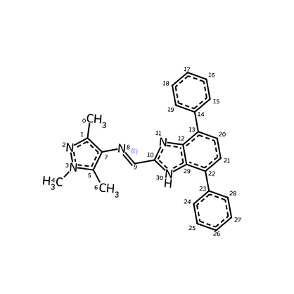 Cc1nn(C)c(C)c1/N=C/c1nc2c(-c3ccccc3)ccc(-c3ccccc3)c2[nH]1